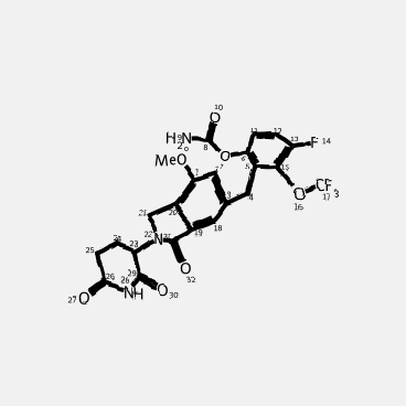 COc1cc(Cc2c(OC(N)=O)ccc(F)c2OC(F)(F)F)cc2c1CN(C1CCC(=O)NC1=O)C2=O